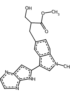 COC(=O)C(CO)Cc1ccc2c(c1)c(-c1cc3nccnc3[nH]1)cn2C